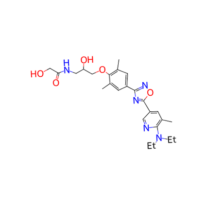 CCN(CC)c1ncc(-c2nc(-c3cc(C)c(OCC(O)CNC(=O)CO)c(C)c3)no2)cc1C